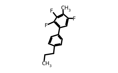 CCCc1ccc(-c2cc(F)c(C)c(F)c2F)cc1